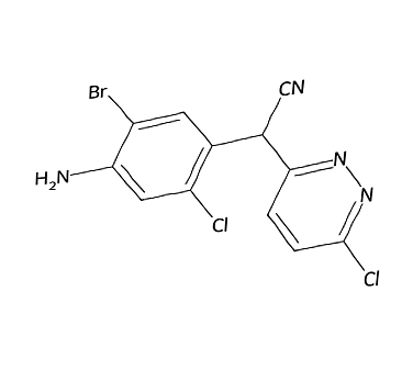 N#CC(c1ccc(Cl)nn1)c1cc(Br)c(N)cc1Cl